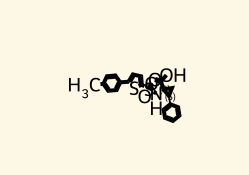 Cc1ccc(-c2ccc(S(=O)(=O)N[C@]3(C(=O)O)C[C@H]3c3ccccc3)s2)cc1